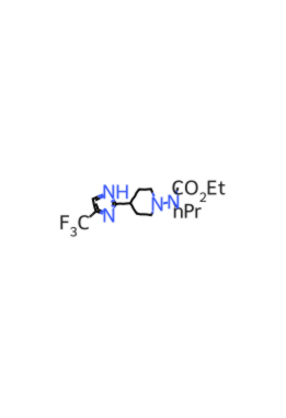 CCCN(C(=O)OCC)N1CCC(c2nc(C(F)(F)F)c[nH]2)CC1